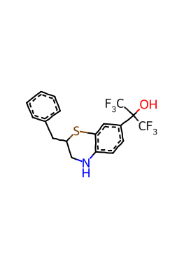 OC(c1ccc2c(c1)SC(Cc1ccccc1)CN2)(C(F)(F)F)C(F)(F)F